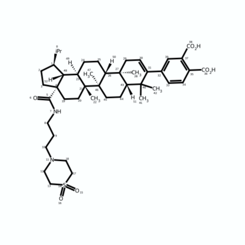 CC(C)[C@@H]1CC[C@]2(C(=O)NCCCN3CCS(=O)(=O)CC3)CC[C@]3(C)[C@H](CC[C@@H]4[C@@]5(C)CC=C(c6ccc(C(=O)O)c(C(=O)O)c6)C(C)(C)[C@@H]5CC[C@]43C)[C@@H]12